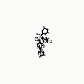 C[C@@H](C1CCCCC1)N(N)C(=O)c1cnc(-n2cccn2)nc1O